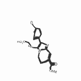 COC(=O)c1ccn2c(NCC(=O)O)c(-c3ccc(Cl)cc3)nc2c1